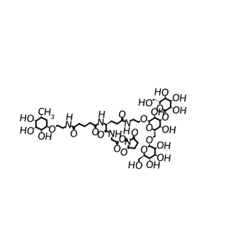 C[C@@H]1C[C@@H](OCCNC(=O)CCCC(=O)N[C@@H](CCC(=O)NCCO[C@H]2O[C@H](CO[C@H]3O[C@H](CO)[C@@H](O)[C@H](O)[C@@H]3O)[C@@H](O)[C@H](O[C@H]3O[C@H](CO)[C@@H](O)[C@H](O)[C@@H]3O)[C@@H]2O)C(=O)NCC(=O)ON2C(=O)CCC2=O)[C@@H](O)[C@H](O)[C@@H]1O